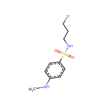 CNc1ccc(S(=O)(=O)NCCCCl)cc1